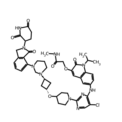 CNC(=O)COc1cc2cc(Nc3nc(N4CCC(O[C@H]5C[C@H](N6CCCN(c7cccc8c7C(=O)N(C7CCC(=O)NC7=O)C8)C6)C5)CC4)ncc3Cl)ccc2n(C(C)C)c1=O